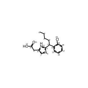 CCCCC(c1ncc(CC(=O)O)[nH]1)c1ccccc1Cl